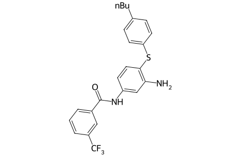 CCCCc1ccc(Sc2ccc(NC(=O)c3cccc(C(F)(F)F)c3)cc2N)cc1